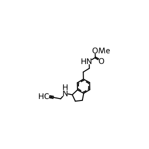 C#CCNC1CCc2ccc(CCNC(=O)OC)cc21